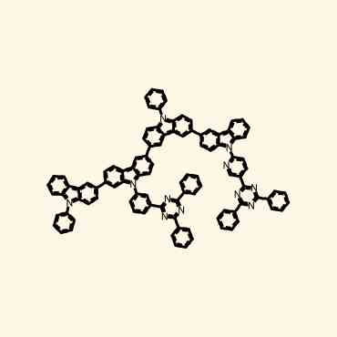 c1ccc(-c2nc(-c3ccccc3)nc(-c3ccc(-n4c5ccccc5c5cc(-c6ccc7c(c6)c6cc(-c8ccc9c(c8)c8ccc(-c%10ccc%11c(c%10)c%10ccccc%10n%11-c%10ccccc%10)cc8n9-c8cccc(-c9nc(-c%10ccccc%10)nc(-c%10ccccc%10)n9)c8)ccc6n7-c6ccccc6)ccc54)nc3)n2)cc1